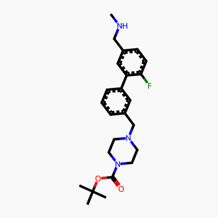 CNCc1ccc(F)c(-c2cccc(CN3CCN(C(=O)OC(C)(C)C)CC3)c2)c1